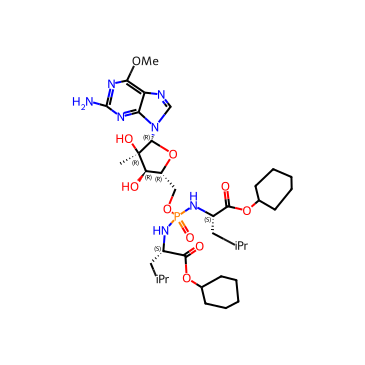 COc1nc(N)nc2c1ncn2[C@@H]1O[C@H](COP(=O)(N[C@@H](CC(C)C)C(=O)OC2CCCCC2)N[C@@H](CC(C)C)C(=O)OC2CCCCC2)[C@@H](O)[C@@]1(C)O